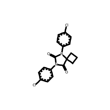 O=C1N(c2ccc(Cl)cc2)C(=O)C2(CCC2)N1c1ccc(Cl)cc1